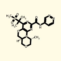 C[C@@H]1COC[C@H]2COc3c(nc(C(=O)Nc4ccnnc4)nc3C(C)(C)S(C)(=O)=O)N21